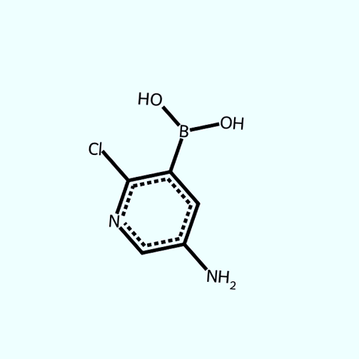 Nc1cnc(Cl)c(B(O)O)c1